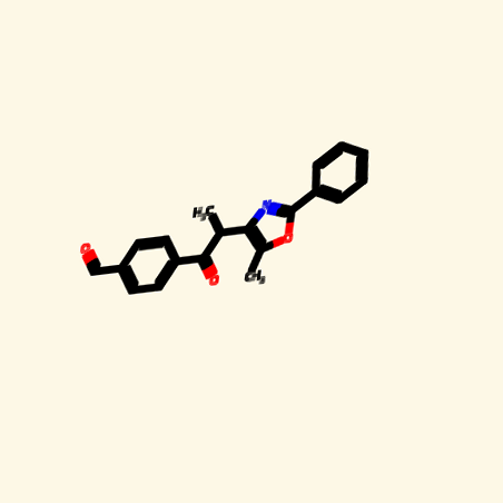 Cc1oc(-c2ccccc2)nc1C(C)C(=O)c1ccc(C=O)cc1